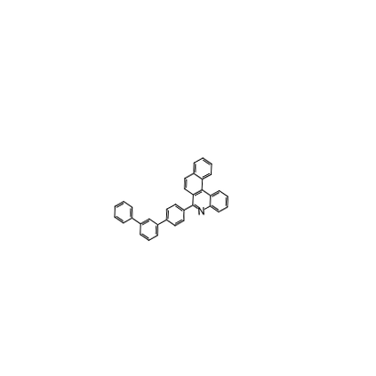 c1ccc(-c2cccc(-c3ccc(-c4nc5ccccc5c5c4ccc4ccccc45)cc3)c2)cc1